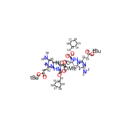 CN(C)c1cc(CC(NC(=O)OCc2ccccc2)C(=O)O)nc(CCC(=O)OC(C)(C)C)n1.COC(=O)C(=Cc1cc(N(C)C)nc(/C=C/C(=O)OC(C)(C)C)n1)NC(=O)OCc1ccccc1